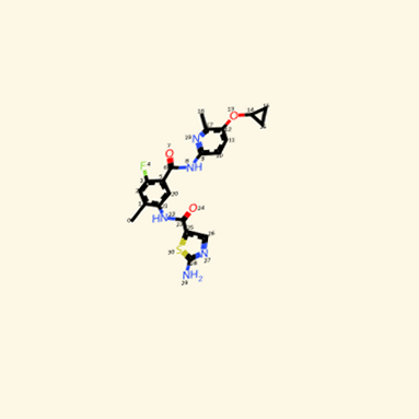 Cc1cc(F)c(C(=O)Nc2ccc(OC3CC3)c(C)n2)cc1NC(=O)c1cnc(N)s1